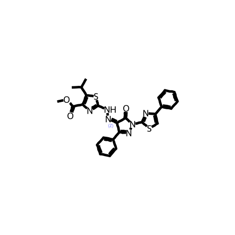 COC(=O)c1nc(N/N=C2\C(=O)N(c3nc(-c4ccccc4)cs3)N=C2c2ccccc2)sc1C(C)C